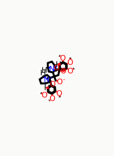 COc1cc(C[N+]2(C)[C@@H]3CC[C@H]2CC(C(CC(=O)[O-])(C(=O)[O-])C2C[C@H]4CC[C@@H](C2)[N+]4(C)Cc2cc(OC)c(OC)c(OC)c2)C3)cc(OC)c1OC